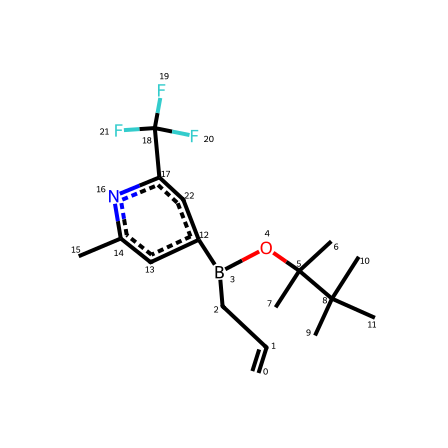 C=CCB(OC(C)(C)C(C)(C)C)c1cc(C)nc(C(F)(F)F)c1